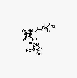 O=C(CCl)NCCCNc1c(NC[C@H]2OC[C@H](O)[C@@H]2O)c(=O)c1=O